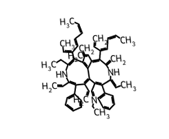 C=C/C(=C\C=C/C)c1c(C=C)c2c(C=C)c(C(/C=C/C=C\C)=C/C)c(CC)[nH]c(C=C)c(-c3ccccc3)c(C=C)c2c(/C=N/CC)c(-c2ccccc2)/c(=C/C)[nH]c1=C